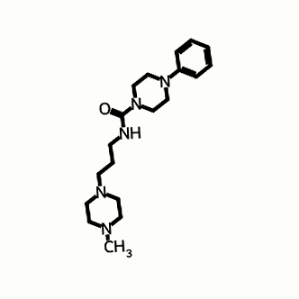 CN1CCN(CCCNC(=O)N2CCN(c3ccccc3)CC2)CC1